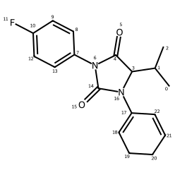 CC(C)C1C(=O)N(c2ccc(F)cc2)C(=O)N1C1=CCCC=C1